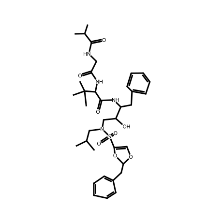 CC(C)CN(CC(O)C(Cc1ccccc1)NC(=O)C(NC(=O)CNC(=O)C(C)C)C(C)(C)C)S(=O)(=O)C1=COC(Cc2ccccc2)O1